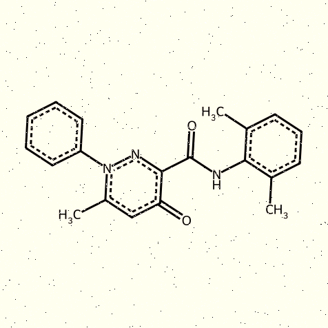 Cc1cccc(C)c1NC(=O)c1nn(-c2ccccc2)c(C)cc1=O